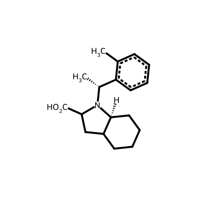 Cc1ccccc1[C@@H](C)N1C(C(=O)O)CC2CCCC[C@@H]21